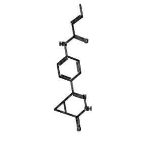 C/C=C/C(=O)Nc1ccc(C2=NNC(=O)C3CC23)cc1